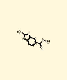 Cc1nc2ccc(C(=O)OS)cc2s1